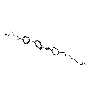 CCCCCCCC1CCC(C#Cc2ccc(-c3ccc(OCCCC)cc3)cc2)CC1